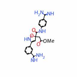 COC(=O)CC1(C(=O)Nc2ccc(C(=N)N)cc2)C=C(c2cccc(C(=N)N)c2)NO1